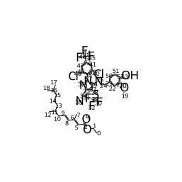 CCOC(=O)/C=C(C)/C=C/CC(C)CCCC(C)C.COc1cc(/C=N/c2c(SC(F)(F)F)c(C#N)nn2-c2c(Cl)cc(C(F)(F)F)cc2Cl)ccc1O